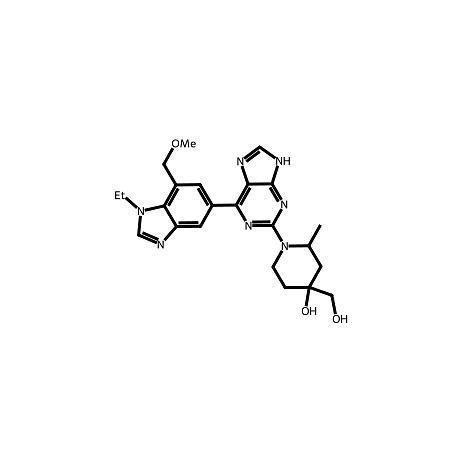 CCn1cnc2cc(-c3nc(N4CCC(O)(CO)CC4C)nc4[nH]cnc34)cc(COC)c21